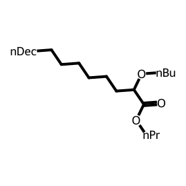 CCCCCCCCCCCCCCCCC(OCCCC)C(=O)OCCC